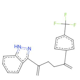 C=C(CCC(=C)c1n[nH]c2ccccc12)c1ccc(C(F)(F)F)cc1